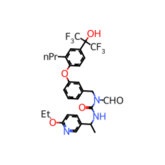 CCCc1cc(C(O)(C(F)(F)F)C(F)(F)F)ccc1Oc1cccc(CN(C=O)C(=O)NC(C)c2ccc(OCC)nc2)c1